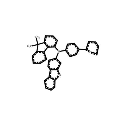 CC1(C)c2ccccc2-c2c(N(c3ccc(-c4ccccc4)cc3)c3ccc4c(c3)oc3ccccc34)cccc21